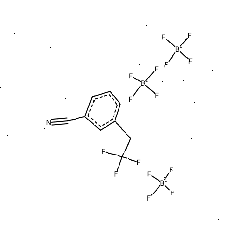 F[B-](F)(F)F.F[B-](F)(F)F.F[B-](F)(F)F.N#Cc1cccc(CC(F)(F)F)c1